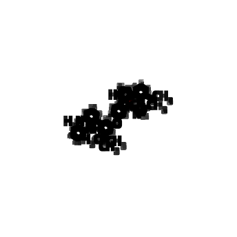 CC(C)c1cccc(C(C)C)c1-n1ccnc1-n1c2ccccc2c2ccc(Oc3cc(-c4cccc(N)c4Nc4ccccc4)cc(C(C)(C)C)c3)cc21